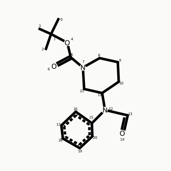 CC(C)(C)OC(=O)N1CCCC(N(C=O)c2cc[c]cc2)C1